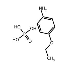 CCOc1ccc(N)cc1.O=P(O)(O)O